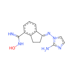 N=C(NO)c1cccc2c1CCC2=Nn1ccnc1N